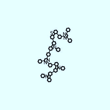 c1ccc(-c2cc(-c3ccccc3)nc(-c3cccc(-c4cccc5sc6ccc(-c7ccc8c(c7)c7ccc(-c9ccc(-c%10cc(-c%11ccccc%11)nc(-c%11cccc(-c%12cccc%13c%12c%12cc(-c%14ccc%15c(c%14)c%14ccccc%14n%15-c%14ccccc%14)ccc%12n%13-c%12ccccc%12)c%11)n%10)cc9)cc7n8-c7ccccc7)cc6c45)c3)n2)cc1